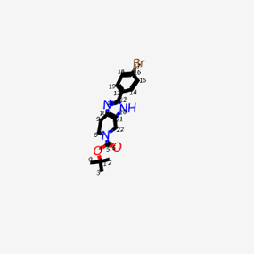 CC(C)(C)OC(=O)N1CCc2nc(-c3ccc(Br)cc3)[nH]c2C1